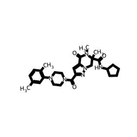 Cc1ccc(C)c(N2CCN(C(=O)c3cc4n(n3)CC(C)(C(=O)NC3CCCC3)N(C)C4=O)CC2)c1